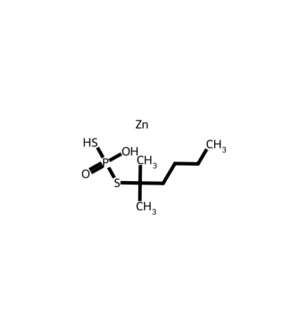 CCCCC(C)(C)SP(=O)(O)S.[Zn]